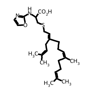 CC(C)=CCCC(C)=CCCC(=CCSCC(Nc1ncco1)C(=O)O)CC=C(C)C